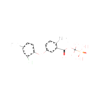 O=C(OC(O)(O)P(=O)(O)O)c1cc(Oc2ccc(C(F)(F)F)cc2Cl)ccc1[N+](=O)[O-]